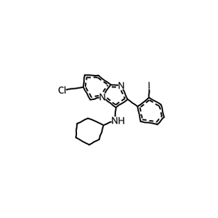 Clc1ccc2nc(-c3ccccc3I)c(NC3CCCCC3)n2c1